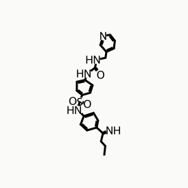 CCCC(=N)c1ccc(NS(=O)(=O)c2ccc(NC(=O)NCc3cccnc3)cc2)cc1